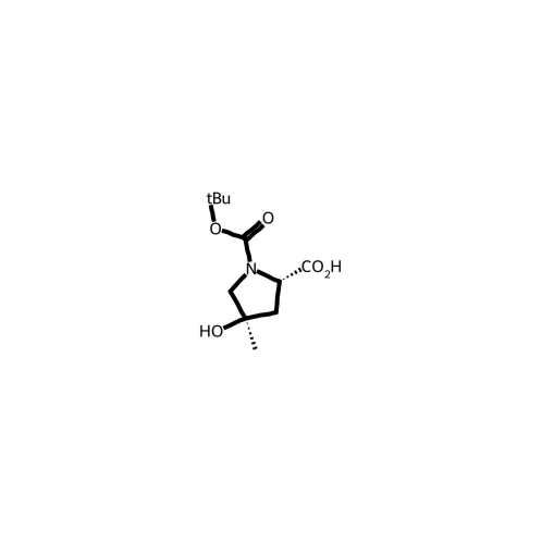 CC(C)(C)OC(=O)N1C[C@](C)(O)C[C@H]1C(=O)O